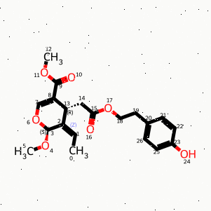 C/C=C1\[C@@H](OC)OC=C(C(=O)OC)[C@@H]1CC(=O)OCCc1ccc(O)cc1